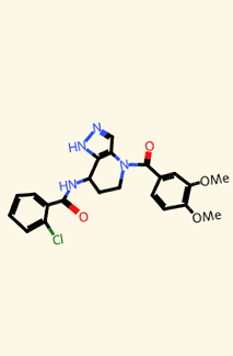 COc1ccc(C(=O)N2CCC(NC(=O)c3ccccc3Cl)c3[nH]ncc32)cc1OC